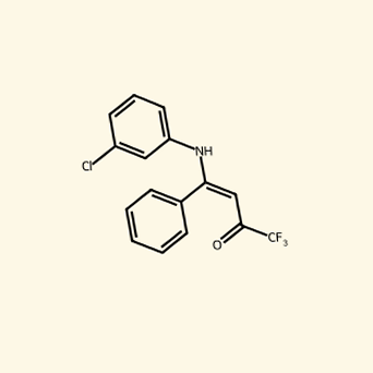 O=C(C=C(Nc1cccc(Cl)c1)c1ccccc1)C(F)(F)F